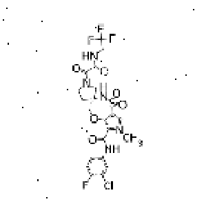 Cn1cc2c(c1C(=O)Nc1ccc(F)c(Cl)c1)OC[C@@]1(CCN(C(=O)C(=O)NCC(F)(F)F)C1)NS2(=O)=O